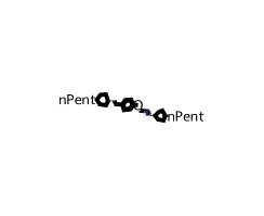 CCCCC[C@H]1CC[C@H](/C=C/COc2ccc(CC[C@H]3CC[C@H](CCCCC)CC3)cc2)CC1